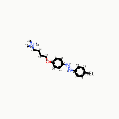 CCc1ccc(/N=N/c2ccc(OCCCC[N+](C)(C)C)cc2)cc1